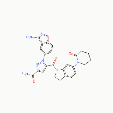 NC(=O)c1cc(C(=O)N2CCc3ccc(N4CCCCC4=O)cc32)n(-c2ccc3onc(N)c3c2)n1